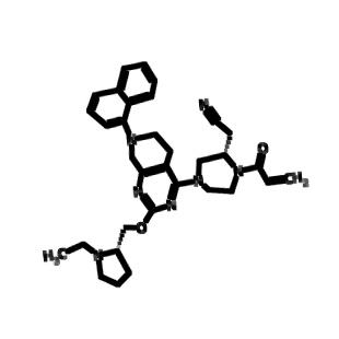 C=CC(=O)N1CCN(c2nc(OC[C@@H]3CCCN3CC)nc3c2CCN(c2cccc4ccccc24)C3)C[C@@H]1CC#N